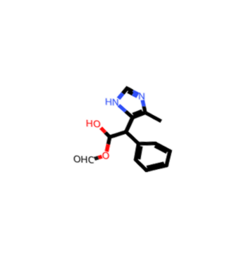 Cc1nc[nH]c1C(c1ccccc1)C(O)OC=O